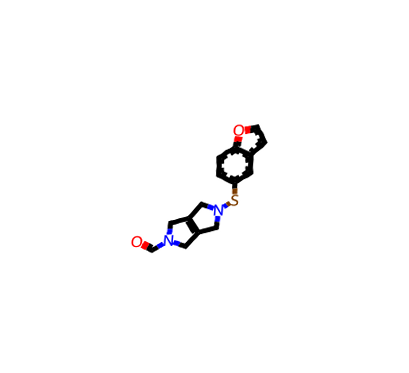 O=CN1CC2=C(C1)CN(Sc1ccc3occc3c1)C2